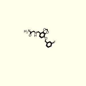 NC(=O)CNCc1ccc(OCc2cccc(F)c2)c2c1OCO2